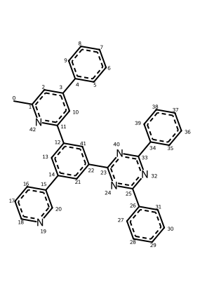 Cc1cc(-c2ccccc2)cc(-c2cc(-c3cccnc3)cc(-c3nc(-c4ccccc4)nc(-c4ccccc4)n3)c2)n1